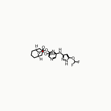 CC(C)(C)OC(=O)N1[C@@H]2CCC[C@H]1CC(Oc1cncc(Nc3cc(OC(F)F)[nH]n3)n1)C2